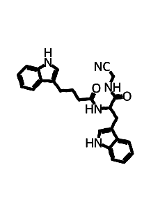 N#CCNC(=O)C(Cc1c[nH]c2ccccc12)NC(=O)CCCc1c[nH]c2ccccc12